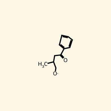 CC(C[O])CC(=O)c1ccccc1